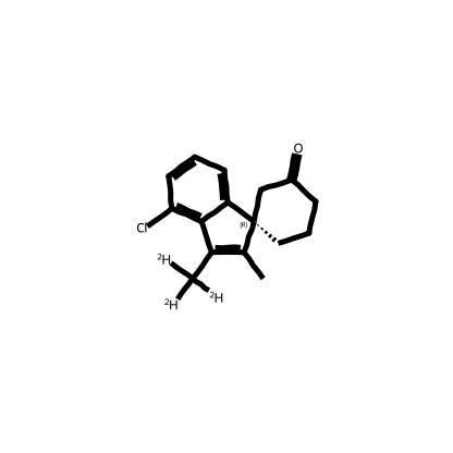 [2H]C([2H])([2H])C1=C(C)[C@@]2(CCCC(=O)C2)c2cccc(Cl)c21